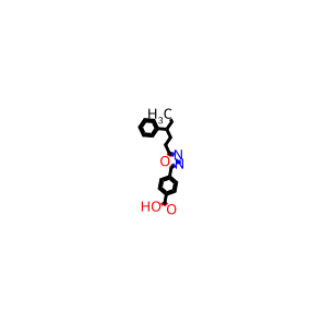 CCC(CCc1nnc(-c2ccc(C(=O)O)cc2)o1)c1ccccc1